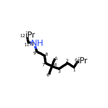 CC(C)CCCC(C)(C)CCCNCC(C)C